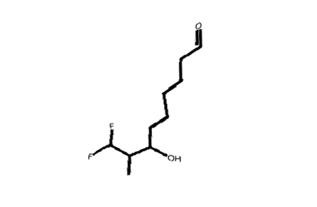 CC(C(F)F)C(O)CCCCCC=O